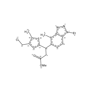 CCn1nnc2c(C)c(C(CC(=O)OC)c3cc(CCl)c(C)s3)ccc21